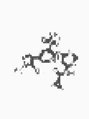 Cc1c(-c2cnc(Nc3cc(NC(=O)C4CC4)ncn3)c(S(C)(=O)=O)c2)cnn1C